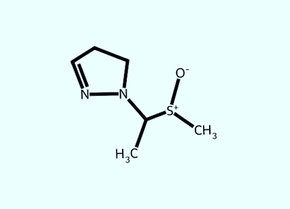 CC(N1CCC=N1)[S+](C)[O-]